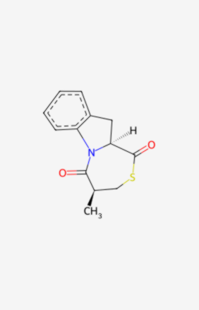 C[C@@H]1CSC(=O)[C@@H]2Cc3ccccc3N2C1=O